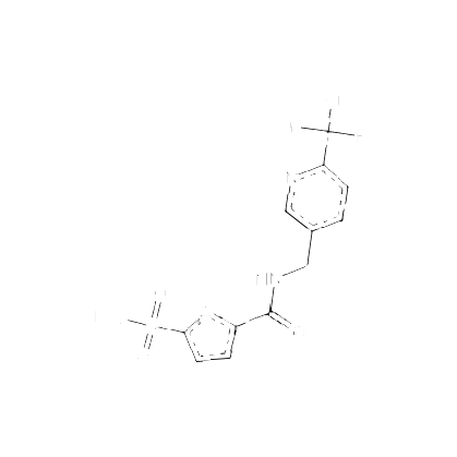 CC(F)(F)c1ccc(CNC(=O)c2ccc(S(C)(=O)=O)s2)cn1